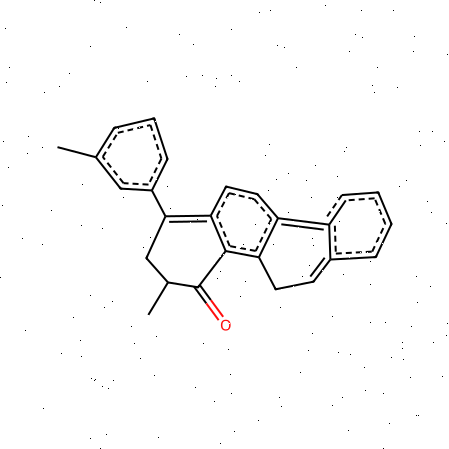 Cc1cccc(C2=c3ccc4c(c3C(=O)C(C)C2)CC=c2ccccc2=4)c1